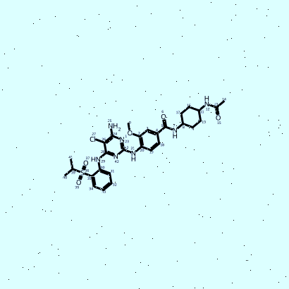 COc1cc(C(=O)NC2CCC(NC(C)=O)CC2)ccc1Nc1nc(N)c(Cl)c(Nc2ccccc2S(=O)(=O)C(C)C)n1